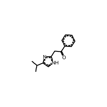 CC(C)c1c[nH]c(CC(=O)c2ccccc2)n1